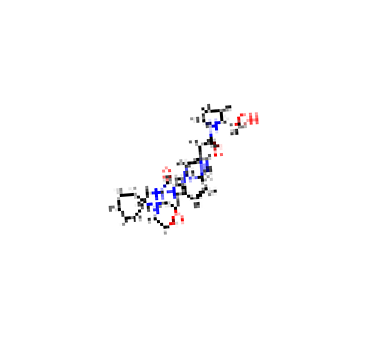 O=C(NCC1(N2CCOCC2)CCCCC1)c1cccc2nc(CC(=O)N3CCC[C@@H]3CO)cn12